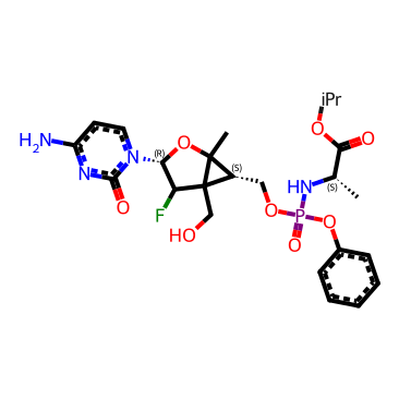 CC(C)OC(=O)[C@H](C)NP(=O)(OC[C@H]1C2(C)O[C@@H](n3ccc(N)nc3=O)C(F)C12CO)Oc1ccccc1